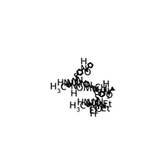 CCOc1c(Nc2cc(C)[nH]n2)nc(Sc2ccc(NC(=O)C3CC3)cc2)nc1N(CC)CC.COc1c(Nc2cc(C)[nH]n2)nc(Sc2ccc(NC(=O)C3CCCC3)cc2)nc1N1CCN(CCN(C)C)CC1